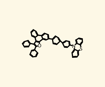 c1ccc(-c2oc3c4cc(-c5ccc(-c6ccc(N7c8ccccc8Sc8ccccc87)cc6)cc5)ccc4c4ccccc4c3c2-c2ccccc2)cc1